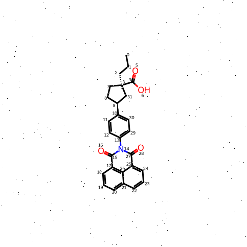 CCC[C@@]1(C(=O)O)CC[C@H](c2ccc(N3C(=O)c4cccc5cccc(c45)C3=O)cc2)C1